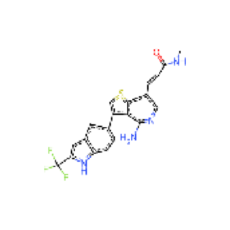 CNC(=O)/C=C/c1cnc(N)c2c(-c3ccc4[nH]c(C(F)(F)F)cc4c3)csc12